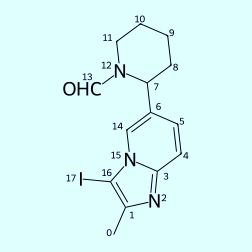 Cc1nc2ccc(C3CCCCN3C=O)cn2c1I